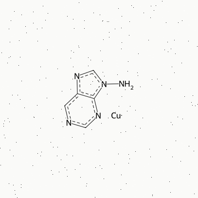 Nn1cnc2cncnc21.[Cu]